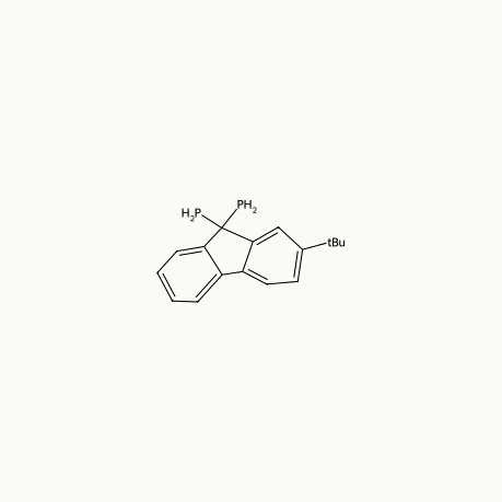 CC(C)(C)c1ccc2c(c1)C(P)(P)c1ccccc1-2